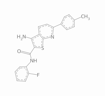 Cc1ccc(-c2ccc3c(N)c(C(=O)Nc4ccccc4F)sc3n2)cc1